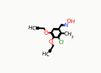 C#CCOc1cc(C=NO)c(C)c(Cl)c1OCC#C